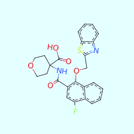 O=C(NC1(C(=O)O)CCOCC1)c1cc(F)c2ccccc2c1OCc1nc2ccccc2s1